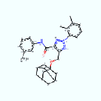 Cc1cccc(-n2nc(COC34CC5CC(CC(C5)C3)C4)c(C(=O)Nc3cccc(C(=O)O)c3)n2)c1C